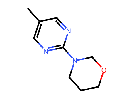 Cc1cnc(N2CCCOC2)nc1